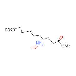 Br.CCCCCCCCCCCCCCCCCC(=O)OC.N